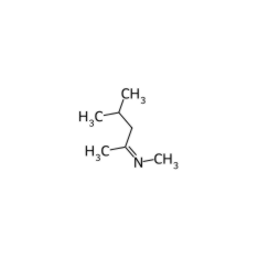 CN=C(C)CC(C)C